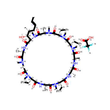 C/C=C/C[C@@H](C)[C@@H](O)[C@H]1C(=O)N[C@@H](CC)C(=O)N(C)CC(=O)N(C)[C@@H](CC(C)C)C(=O)N[C@@H](C(C)C)C(=O)N(C)[C@@H](CC(C)C)C(=O)N[C@@H](C)C(=O)N[C@H](C)C(=O)N(C)[C@@H](CC(C)C)C(=O)N(C)[C@@H](CC(C)C)C(=O)N(C)[C@@H](C(C)C)C(=O)N1C.O=C(O)C(F)(F)F